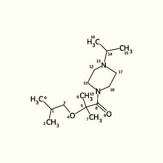 CC(C)COC(C)(C)C(=O)N1CCN(C(C)C)CC1